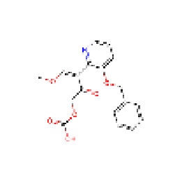 COC=C(C(=O)COC(=O)O)c1ncccc1OCc1ccccc1